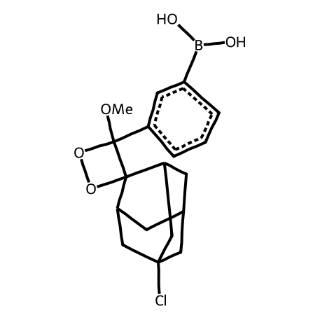 COC1(c2cccc(B(O)O)c2)OOC12C1CC3CC2CC(Cl)(C3)C1